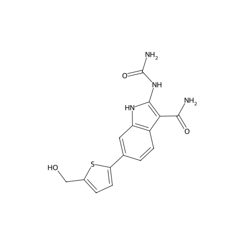 NC(=O)Nc1[nH]c2cc(-c3ccc(CO)s3)ccc2c1C(N)=O